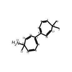 CC1(C)C=CC=C(C2=CC=CC(C)(N)C=C2)C=C1